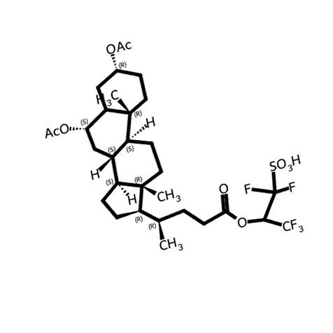 CC(=O)O[C@@H]1CC[C@@]2(C)C(C1)[C@@H](OC(C)=O)C[C@H]1[C@@H]3CC[C@H]([C@H](C)CCC(=O)OC(C(F)(F)F)C(F)(F)S(=O)(=O)O)[C@@]3(C)CC[C@@H]12